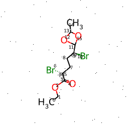 CCOC(=O)[C@H](Br)CC[C@H](Br)C1OC(C)O1